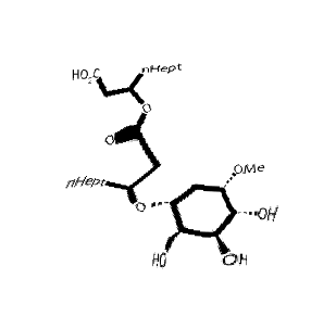 CCCCCCCC(CC(=O)O)OC(=O)CC(CCCCCCC)O[C@@H]1C[C@H](OC)[C@H](O)[C@@H](O)[C@H]1O